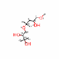 COCC(O)CC(C)(C)OCC(O)C(C)(C)O